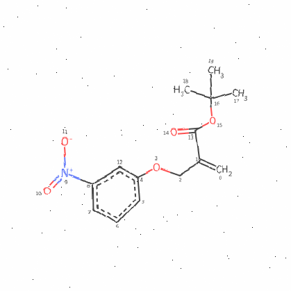 C=C(COc1cccc([N+](=O)[O-])c1)C(=O)OC(C)(C)C